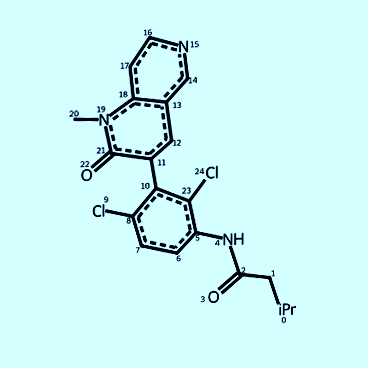 CC(C)CC(=O)Nc1ccc(Cl)c(-c2cc3cnccc3n(C)c2=O)c1Cl